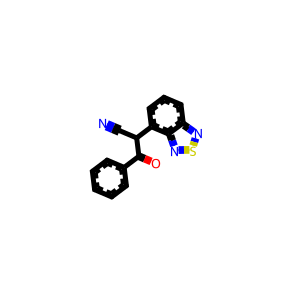 N#CC(C(=O)c1ccccc1)c1cccc2nsnc12